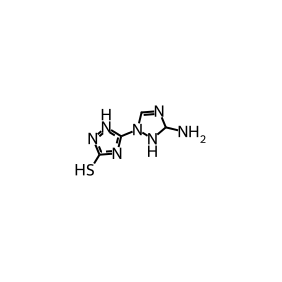 NC1N=CN(c2nc(S)n[nH]2)N1